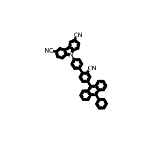 N#Cc1ccc2c(c1)c1cc(C#N)ccc1n2-c1ccc(-c2ccc(-c3c4ccccc4c(-c4ccccc4)c4ccccc34)cc2C#N)cc1